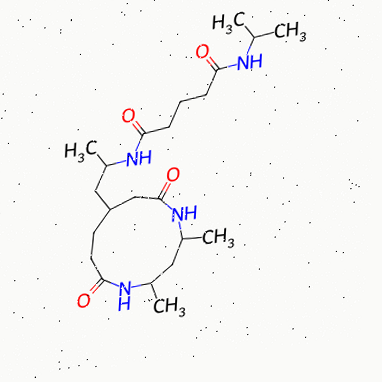 CC(C)NC(=O)CCCC(=O)NC(C)CC1CCC(=O)NC(C)CC(C)NC(=O)C1